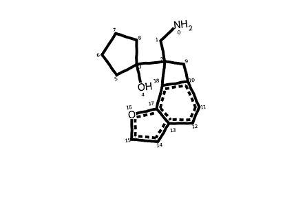 NCC1(C2(O)CCCC2)Cc2ccc3ccoc3c21